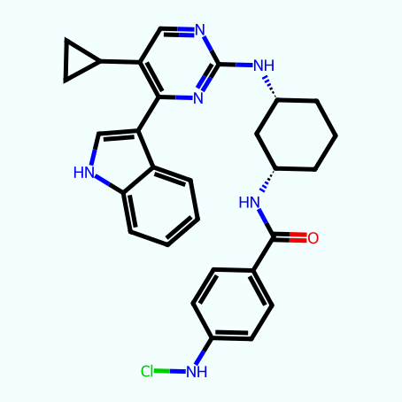 O=C(N[C@H]1CCC[C@@H](Nc2ncc(C3CC3)c(-c3c[nH]c4ccccc34)n2)C1)c1ccc(NCl)cc1